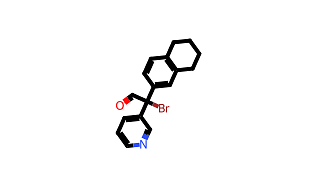 O=CC(Br)(c1cccnc1)c1ccc2c(c1)CCCC2